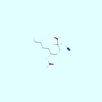 CC(=O)N[C@H]1[C@H]([C@H](O)[C@H](O)CO)O[C@](OC#N)(C(=O)O)C[C@@H]1O